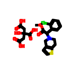 COC(=O)C(c1ccccc1Cl)N1CCc2sccc2C1.O=C(O)CC(O)(CC(=O)O)C(=O)O